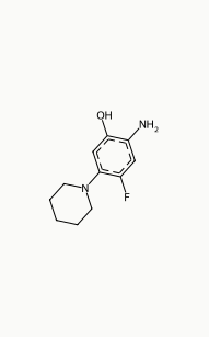 Nc1cc(F)c(N2CCCCC2)cc1O